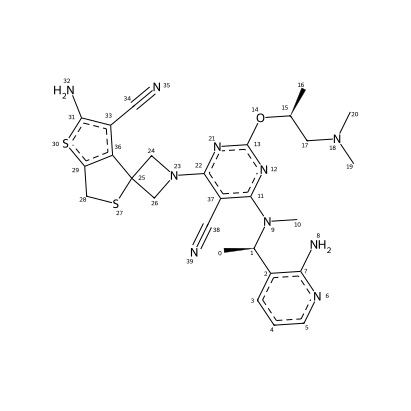 C[C@H](c1cccnc1N)N(C)c1nc(O[C@@H](C)CN(C)C)nc(N2CC3(C2)SCc2sc(N)c(C#N)c23)c1C#N